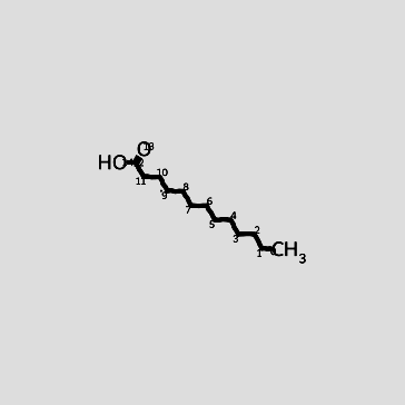 CCCCCCCCC[CH]CCC(=O)O